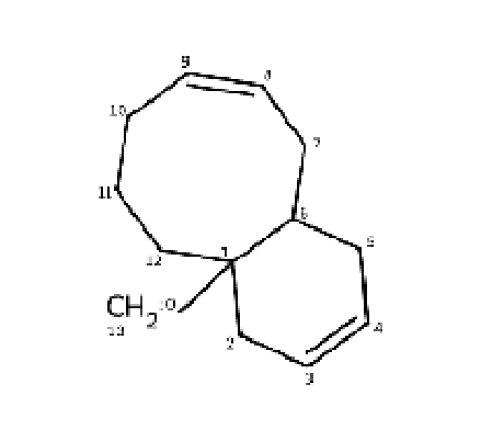 CC12CC=CCC1CC=CCCC2.[CH2]